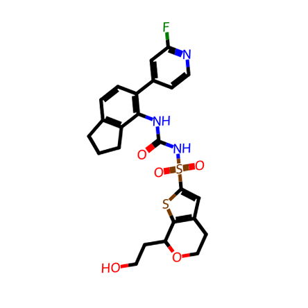 O=C(Nc1c(-c2ccnc(F)c2)ccc2c1CCC2)NS(=O)(=O)c1cc2c(s1)C(CCO)OCC2